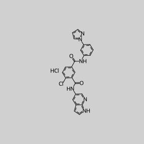 Cl.O=C(Nc1cccc(-n2cccn2)c1)c1ccc(Cl)c(C(=O)Nc2cnc3[nH]ccc3c2)c1